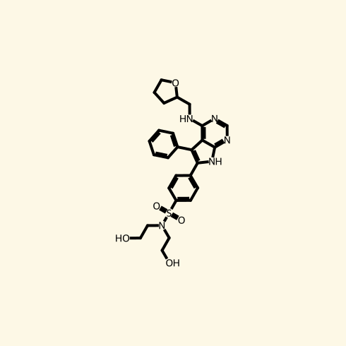 O=S(=O)(c1ccc(-c2[nH]c3ncnc(NCC4CCCO4)c3c2-c2ccccc2)cc1)N(CCO)CCO